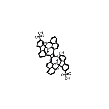 O=C1C(c2ccc3cccc4c3c2NC2(N4)c3ccccc3-c3ccc(S(=O)(=O)O)cc32)=C(OO)/C1=c1/ccc2cccc3c2c1NC1(N=3)c2ccccc2-c2ccc(S(=O)(=O)O)cc21